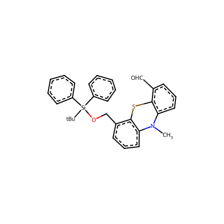 CN1c2cccc(C=O)c2Sc2c(CO[Si](c3ccccc3)(c3ccccc3)C(C)(C)C)cccc21